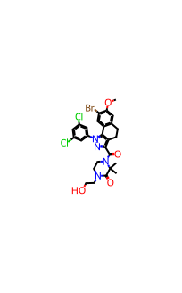 COc1cc2c(cc1Br)-c1c(c(C(=O)N3CCN(CCO)C(=O)C3(C)C)nn1-c1cc(Cl)cc(Cl)c1)CC2